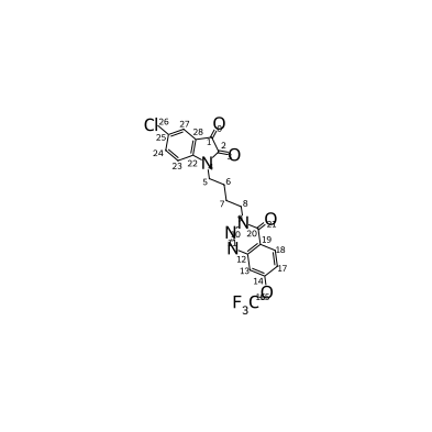 O=C1C(=O)N(CCCCn2nnc3cc(OC(F)(F)F)ccc3c2=O)c2ccc(Cl)cc21